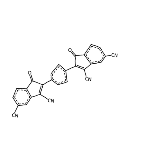 N#CC1=C(c2ccc(C3=C(C#N)c4cc(C#N)ccc4C3=O)cc2)C(=O)c2ccc(C#N)cc21